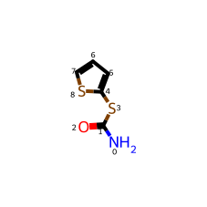 NC(=O)Sc1cccs1